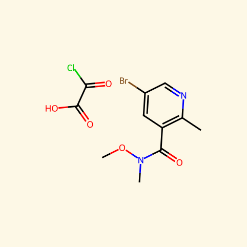 CON(C)C(=O)c1cc(Br)cnc1C.O=C(O)C(=O)Cl